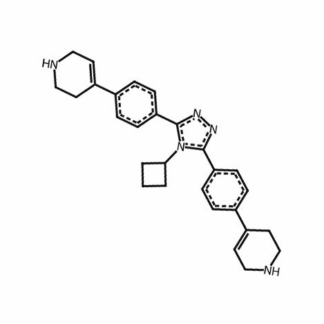 C1=C(c2ccc(-c3nnc(-c4ccc(C5=CCNCC5)cc4)n3C3CCC3)cc2)CCNC1